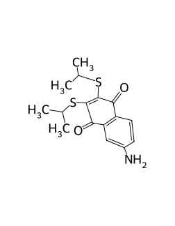 CC(C)SC1=C(SC(C)C)C(=O)c2cc(N)ccc2C1=O